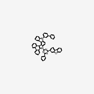 c1ccc(-c2cccc(-n3c4ccccc4c4c5c6c7ccccc7c7ccccc7c6n(-c6nc(-c7ccccc7)nc(-c7ccc8c(c7)oc7ccccc78)n6)c5ccc43)c2)cc1